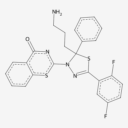 NCCCC1(c2ccccc2)SC(c2cc(F)ccc2F)=NN1c1nc(=O)c2ccccc2s1